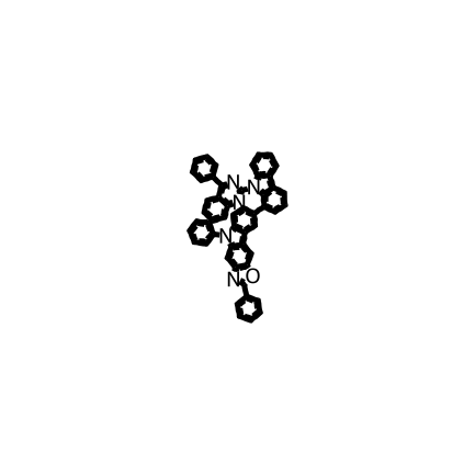 c1ccc(-c2nc3cc4c(cc3o2)c2cc(-c3cccc5c6ccccc6n(-c6nc(-c7ccccc7)c7ccccc7n6)c35)ccc2n4-c2ccccc2)cc1